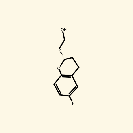 OCC[C@@H]1CCc2cc(F)ccc2O1